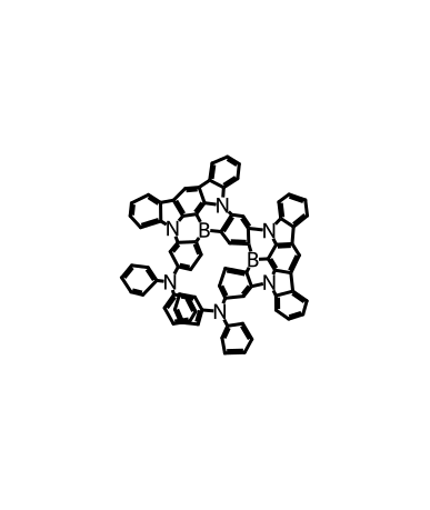 c1ccc(N(c2ccccc2)c2ccc3c(c2)-n2c4ccccc4c4cc5c6ccccc6n6c5c(c42)B3c2cc3c(cc2-6)-n2c4ccccc4c4cc5c6ccccc6n6c5c(c42)B3c2ccc(N(c3ccccc3)c3ccccc3)cc2-6)cc1